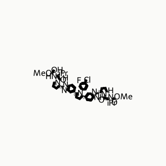 COC(=O)N[C@H](C(=O)N1CCC[C@H]1c1nc2cc([C@H]3CC[C@H](c4ccc5[nH]c([C@@H]6CCCN6C(=O)[C@@H](NC(O)OC)C(C)C)nc5c4)N3c3ccc(Cl)c(F)c3)ccc2[nH]1)C(C)C